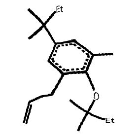 C=CCc1cc(C(C)(C)CC)cc(C)c1OC(C)(C)CC